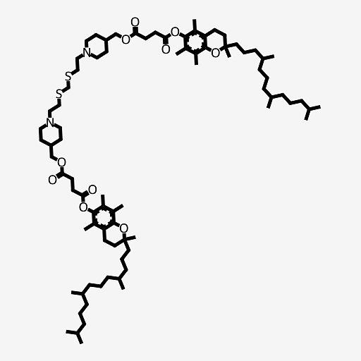 Cc1c(C)c2c(c(C)c1OC(=O)CCC(=O)OCC1CCN(CCSCSCCN3CCC(COC(=O)CCC(=O)Oc4c(C)c(C)c5c(c4C)CCC(C)(CCCC(C)CCCC(C)CCCC(C)C)O5)CC3)CC1)CCC(C)(CCCC(C)CCCC(C)CCCC(C)C)O2